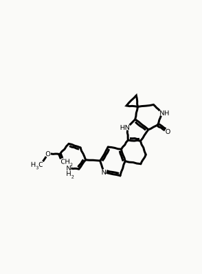 C=C(/C=C\C(=C/N)c1cc2c(cn1)CCc1c-2[nH]c2c1C(=O)NCC21CC1)OC